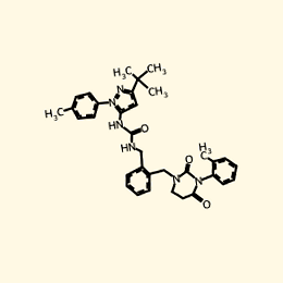 Cc1ccc(-n2nc(C(C)(C)C)cc2NC(=O)NCc2ccccc2CN2CCC(=O)N(c3ccccc3C)C2=O)cc1